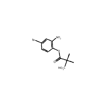 CC(C)(C(=O)O)C(=O)Oc1ccc(Br)cc1[N+](=O)[O-]